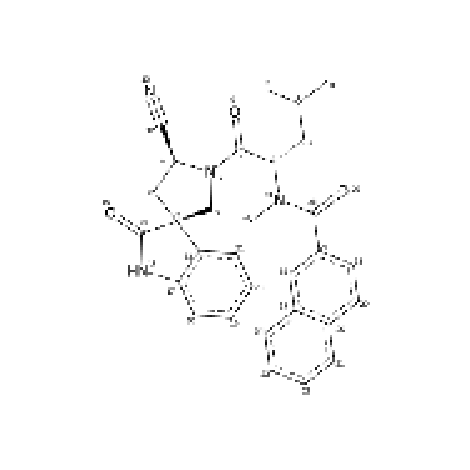 CC(C)C[C@@H](C(=O)N1C[C@]2(C[C@H]1C#N)C(=O)Nc1ccccc12)N(C)C(=O)c1ccc2ccccc2c1